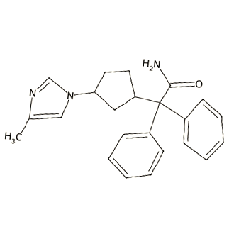 Cc1cn(C2CCC(C(C(N)=O)(c3ccccc3)c3ccccc3)C2)cn1